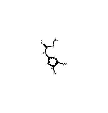 CC(=O)c1sc(NC(=O)OC(C)(C)C)nc1Br